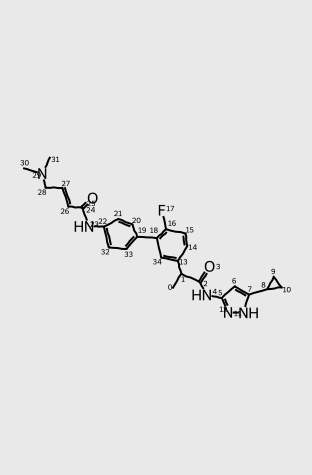 CC(C(=O)Nc1cc(C2CC2)[nH]n1)c1ccc(F)c(-c2ccc(NC(=O)/C=C/CN(C)C)cc2)c1